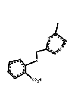 O=C(O)c1ccccc1SCc1cccc(F)n1